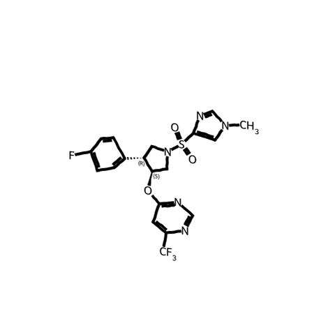 Cn1cnc(S(=O)(=O)N2C[C@@H](Oc3cc(C(F)(F)F)ncn3)[C@H](c3ccc(F)cc3)C2)c1